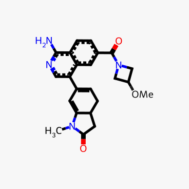 COC1CN(C(=O)c2ccc3c(N)ncc(C4=CCC5CC(=O)N(C)C5=C4)c3c2)C1